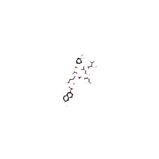 CC[C@H](C)C([C@@H](CC(=O)N1C[C@@H](OC(=O)Oc2ccc([N+](=O)[O-])cc2)C[C@H]1[C@H](OC)[C@@H](C)C(=O)NCC(=O)c1ccc2cc(OC)ccc2c1)OC)N(C)C(=O)[C@@H](NC(=O)C(C(C)C)N(C)C)C(C)C